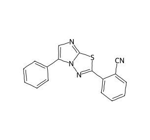 N#Cc1ccccc1-c1nn2c(-c3ccccc3)cnc2s1